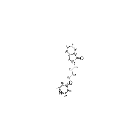 O=C1c2ccccc2CN1CCCCOc1ccncc1